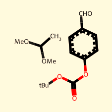 CC(C)(C)OC(=O)Oc1ccc(C=O)cc1.COC(C)OC